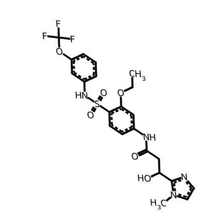 CCOc1cc(NC(=O)CC(O)c2nccn2C)ccc1S(=O)(=O)Nc1cccc(OC(F)(F)F)c1